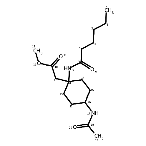 CCCCCC(=O)NC1(CC(=O)OC)CCC(NC(C)=O)CC1